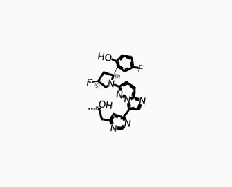 C[C@H](O)Cc1cc(-c2cnc3ccc(N4C[C@@H](F)C[C@@H]4c4cc(F)ccc4O)nn23)ncn1